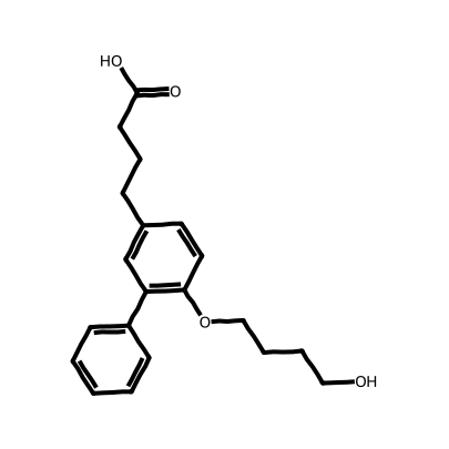 O=C(O)CCCc1ccc(OCCCCO)c(-c2ccccc2)c1